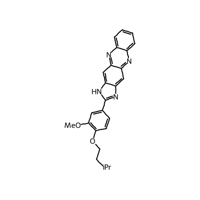 COc1cc(-c2nc3cc4nc5ccccc5nc4cc3[nH]2)ccc1OCCC(C)C